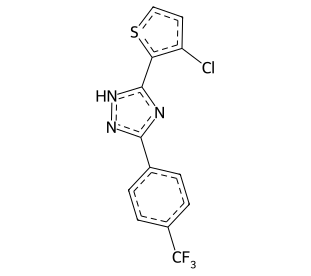 FC(F)(F)c1ccc(-c2n[nH]c(-c3sccc3Cl)n2)cc1